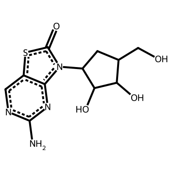 Nc1ncc2sc(=O)n(C3CC(CO)C(O)C3O)c2n1